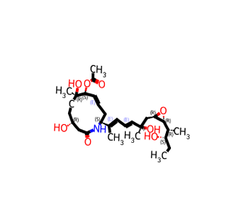 CC[C@H](O)[C@@H](C)[C@H]1O[C@@H]1C[C@@](C)(O)/C=C/C=C(\C)[C@@H]1C/C=C/[C@H](OC(C)=O)[C@](C)(O)CC[C@@H](O)CC(=O)N1